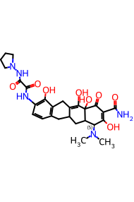 CN(C)[C@@H]1C(O)=C(C(N)=O)C(=O)C2(O)C(O)=C3Cc4c(ccc(NC(=O)C(=O)NN5CCCC5)c4O)CC3CC12